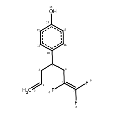 C=CCC(CC(F)=C(F)F)c1ccc(O)cc1